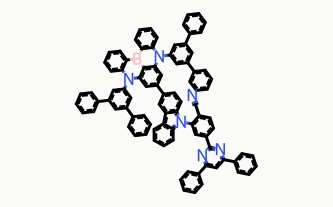 N#Cc1ccc(-c2nc(-c3ccccc3)cc(-c3ccccc3)n2)cc1-n1c2ccccc2c2cc(-c3cc4c5c(c3)N(c3cc(-c6ccccc6)cc(-c6ccccc6)c3)c3ccccc3B5c3ccccc3N4c3cc(-c4ccccc4)cc(-c4ccccc4)c3)ccc21